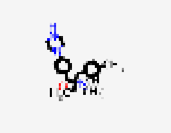 CCC(Cc1ccc(C)cc1)(C(=O)c1ccc(N2CCNCC2)cc1)N(C)C